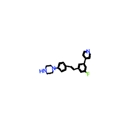 Fc1cc(/C=C/c2ccc(N3CCNCC3)cc2)cc(-c2ccncc2)c1